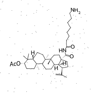 C=C(C)[C@@H]1CC[C@]2(C(=O)NC(=O)CCCCCCCN)CC[C@]3(C)[C@H](CCC4[C@@]5(C)CC[C@H](OC(C)=O)C(C)(C)[C@@H]5CC[C@]43C)[C@@H]12